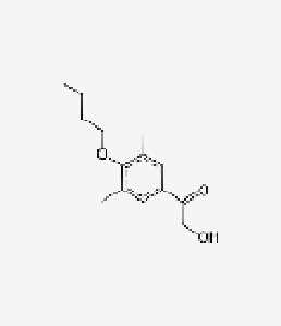 CCCCOc1c(C)cc(C(=O)CO)cc1C